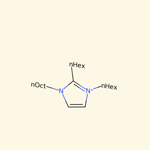 CCCCCCCCn1cc[n+](CCCCCC)c1CCCCCC